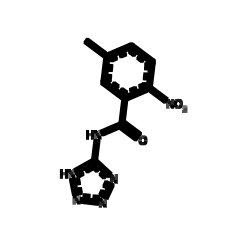 Cc1ccc([N+](=O)[O-])c(C(=O)Nc2nnn[nH]2)c1